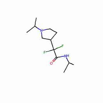 CC(C)NC(=O)C(F)(F)C1CCN(C(C)C)C1